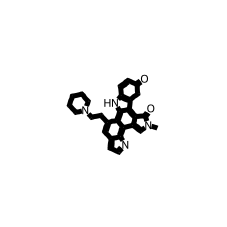 CN1C=c2c(c3c4c([nH]c3c3c(CCN5CCCCC5)cc5c(c23)N=CC=5)C=CC(=O)C4)C1=O